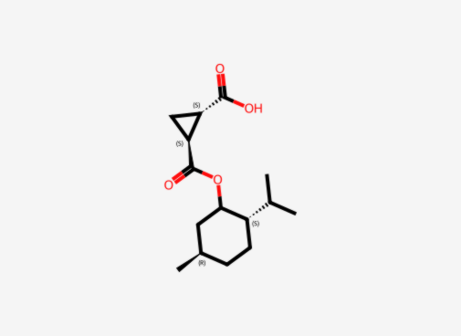 CC(C)[C@@H]1CC[C@@H](C)CC1OC(=O)[C@H]1C[C@@H]1C(=O)O